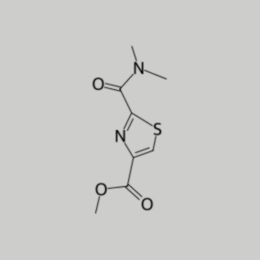 COC(=O)c1csc(C(=O)N(C)C)n1